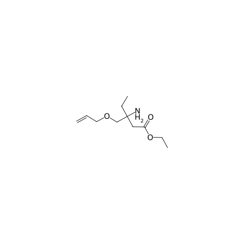 C=CCOCC(N)(CC)CC(=O)OCC